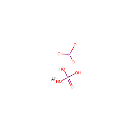 O=P(O)(O)O.[Al+3].[O-]P([O-])[O-]